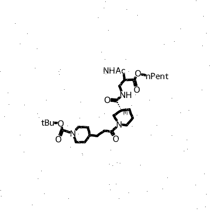 CCCCCOC(=O)C(CNC(=O)[C@@H]1CCCN(C(=O)CCC2CCN(C(=O)OC(C)(C)C)CC2)C1)NC(C)=O